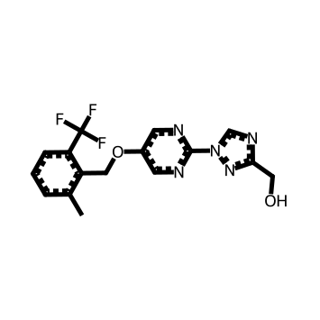 Cc1cccc(C(F)(F)F)c1COc1cnc(-n2cnc(CO)n2)nc1